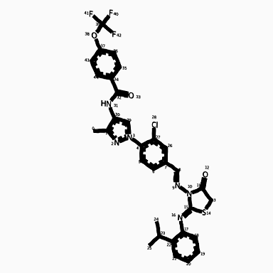 Cc1nn(-c2ccc(/C=N/N3C(=O)CS/C3=N\c3ccccc3C(C)C)cc2Cl)cc1NC(=O)c1ccc(OC(F)(F)F)cc1